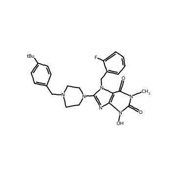 Cn1c(=O)c2c(nc(N3CCN(Cc4ccc(C(C)(C)C)cc4)CC3)n2Cc2ccccc2F)n(O)c1=O